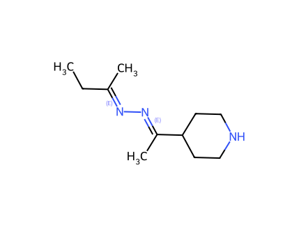 CC/C(C)=N/N=C(\C)C1CCNCC1